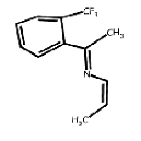 C/C=C\N=C(/C)c1ccccc1C(F)(F)F